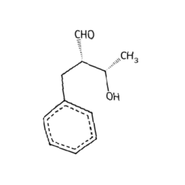 C[C@H](O)[C@@H](C=O)Cc1ccccc1